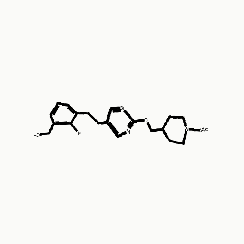 CC(=O)N1CCC(COc2ncc(CCc3cccc(CO)c3F)cn2)CC1